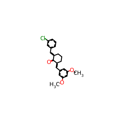 COc1cc(C=C2CCCC(=Cc3cccc(Cl)c3)C2=O)cc(OC)c1